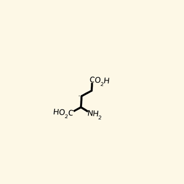 NC([CH]CC(=O)O)C(=O)O